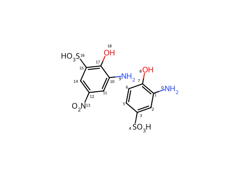 Nc1cc(S(=O)(=O)O)ccc1O.Nc1cc([N+](=O)[O-])cc(S(=O)(=O)O)c1O